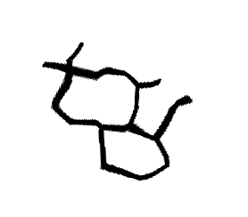 CC1CCCC2CCC(C)(C)CC(C)C12